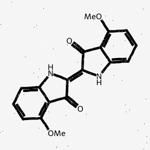 COc1cccc2c1C(=O)C(=C1Nc3cccc(OC)c3C1=O)N2